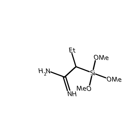 CCC(C(=N)N)[Si](OC)(OC)OC